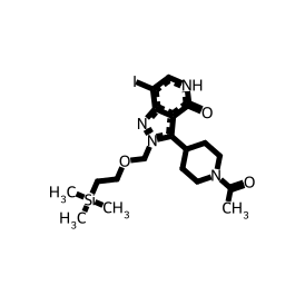 CC(=O)N1CCC(c2c3c(=O)[nH]cc(I)c3nn2COCC[Si](C)(C)C)CC1